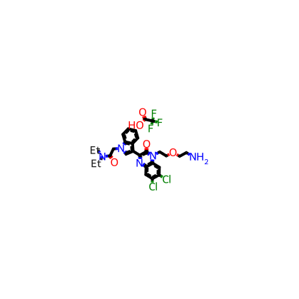 CCN(CC)C(=O)Cn1cc(-c2nc3cc(Cl)c(Cl)cc3n(CCOCCN)c2=O)c2ccccc21.O=C(O)C(F)(F)F